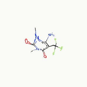 Cn1c(N)c(C(F)(F)F)c(=O)n(C)c1=O